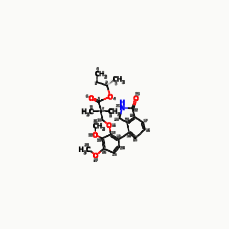 CC[C@H](C)OC(=O)C(C)(C)COc1c(-c2cccc3c2CNC3=O)ccc(OC)c1OC